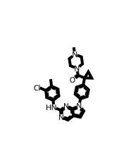 Cc1ccc(Nc2ncc3ccn(-c4ccc(C5(C(=O)N6CCN(C)CC6)CC5)cc4)c3n2)cc1Cl